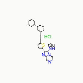 CC(C)(C)Nc1c(-c2ccc(C#Cc3cccc(-c4ccccc4)c3)s2)nc2cnccn12.Cl